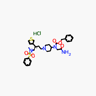 CN(C[C@H](CCN1CCC(N(CC(N)=O)C(=O)OCc2ccccc2)CC1)c1ccsc1)S(=O)(=O)c1ccccc1.Cl